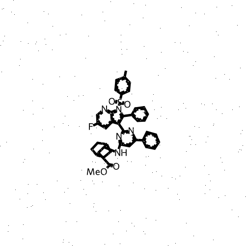 COC(=O)C1C2CCC(CC2)C1Nc1cc(-c2ccccc2)nc(-c2c(-c3ccccc3)n(S(=O)(=O)c3ccc(C)cc3)c3ncc(F)cc23)n1